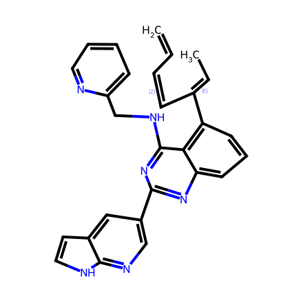 C=C/C=C\C(=C/C)c1cccc2nc(-c3cnc4[nH]ccc4c3)nc(NCc3ccccn3)c12